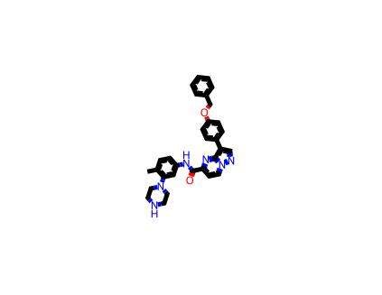 Cc1ccc(NC(=O)c2ccn3ncc(-c4ccc(OCc5ccccc5)cc4)c3n2)cc1N1CCNCC1